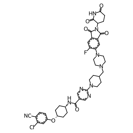 N#Cc1ccc(O[C@H]2CC[C@H](NC(=O)c3cnc(N4CCC(CN5CCN(c6cc7c(cc6F)C(=O)N(C6CCC(=O)NC6=O)C7=O)CC5)CC4)nc3)CC2)cc1Cl